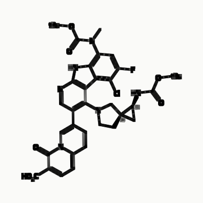 CN(C(=O)OC(C)(C)C)c1cc(F)c(Cl)c2c1[nH]c1ncc(-c3ccc4ccc(C(=O)O)c(=O)n4c3)c(N3CC[C@@]4(C[C@@H]4NC(=O)OC(C)(C)C)C3)c12